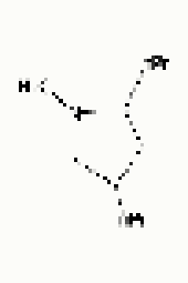 CCCC1CC(CCC)N(C)C1